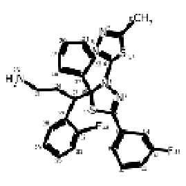 Cc1nnc(N2N=C(c3cccc(F)c3)SC2(c2ccccc2)C(CCN)c2ccccc2F)s1